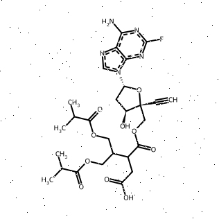 C#C[C@]1(COC(=O)C(CC(=O)O)C(COC(=O)C(C)C)COC(=O)C(C)C)O[C@@H](n2cnc3c(N)nc(F)nc32)C[C@@H]1O